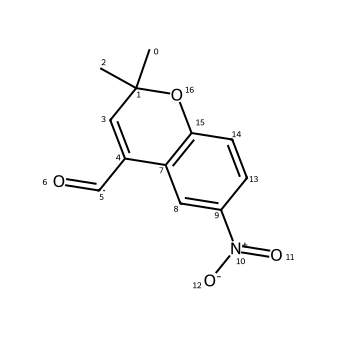 CC1(C)C=C([C]=O)c2cc([N+](=O)[O-])ccc2O1